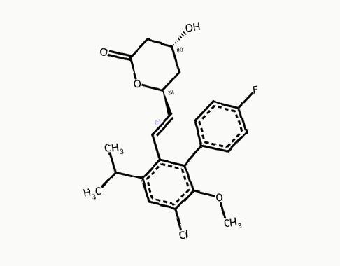 COc1c(Cl)cc(C(C)C)c(/C=C/[C@@H]2C[C@@H](O)CC(=O)O2)c1-c1ccc(F)cc1